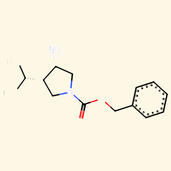 CC(C)[C@H]1CN(C(=O)OCc2ccccc2)C[C@H]1N